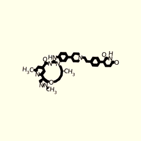 Cc1cc2cc(n1)-c1cnn(C)c1OCCC[C@@H](C)CN1/C(=N/C2=O)Nc2ccc(C3CCN(CCc4ccc(C5CCC(=O)NC5=O)cc4)CC3)cc21